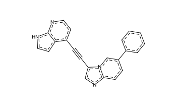 C(#Cc1cnc2ccc(-c3cc[c]cc3)cn12)c1ccnc2[nH]ccc12